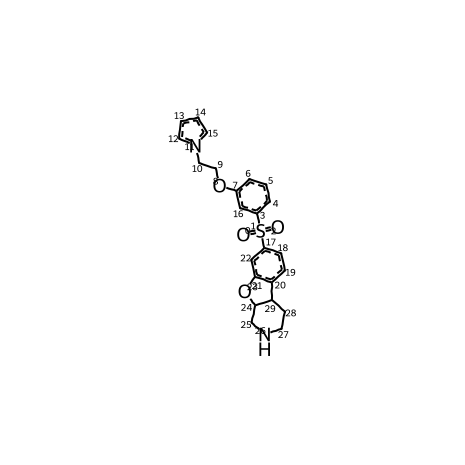 O=S(=O)(c1cccc(OCCn2cccc2)c1)c1ccc2c(c1)OC1CNCCC21